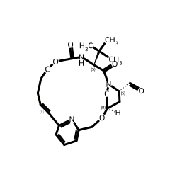 CC(C)(C)[C@@H]1NC(=O)OCCC/C=C/c2cccc(n2)CO[C@@H]2C[C@@H](C=O)N(C2)C1=O